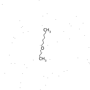 CCCCCC[CH]OCCCC